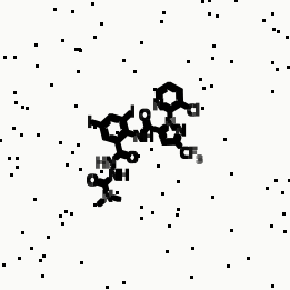 CN(C)C(=O)NNC(=O)c1cc(I)cc(I)c1NC(=O)c1cc(C(F)(F)F)nn1-c1ncccc1Cl